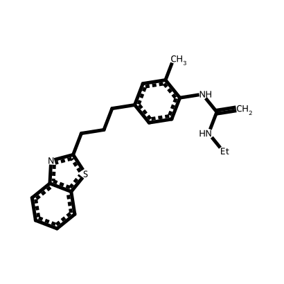 C=C(NCC)Nc1ccc(CCCc2nc3ccccc3s2)cc1C